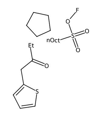 C1CCCC1.CCC(=O)Cc1cccs1.CCCCCCCCS(=O)(=O)OF